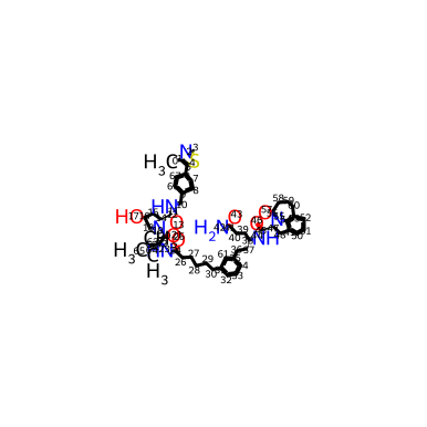 Cc1ncsc1-c1ccc(CNC(=O)[C@@H]2C[C@@H](O)CN2C(=O)[C@@H](NC(=O)CCCCCc2cccc(CC[C@H](CCC(N)=O)NC(=O)[C@@H]3Cc4cccc5c4N3C(=O)CCC5)c2)C(C)(C)C)cc1